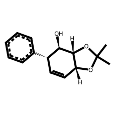 CC1(C)O[C@H]2[C@H](O)[C@@H](c3ccccc3)C=C[C@H]2O1